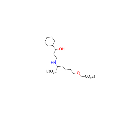 CCOC(=O)COCCCCC(NCCC(O)C1CCCCC1)C(=O)OCC